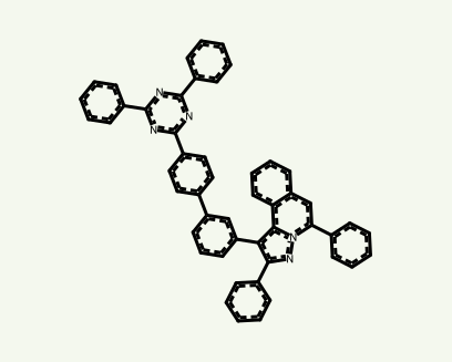 c1ccc(-c2nc(-c3ccccc3)nc(-c3ccc(-c4cccc(-c5c(-c6ccccc6)nn6c(-c7ccccc7)cc7ccccc7c56)c4)cc3)n2)cc1